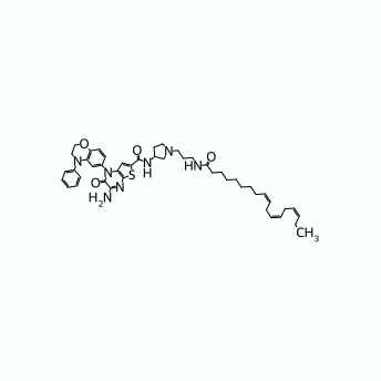 CC/C=C\C/C=C\C/C=C\CCCCCCCC(=O)NCCCN1CC[C@H](NC(=O)c2cc3c(nc(N)c(=O)n3-c3ccc4c(c3)N(c3ccccc3)CCO4)s2)C1